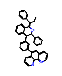 CC/C(=C1\NC(c2ccccc2)C(c2cccc(-c3cc4cccnc4c4ncccc34)c2)c2ccccc21)c1ccccc1